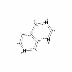 c1cc2nncnc2cn1